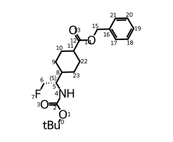 CC(C)(C)OC(=O)N[C@H](CF)C1CCC(C(=O)OCc2ccccc2)CC1